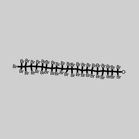 [O]C(Br)(Br)C(Br)(Br)C(Br)(Br)C(Br)(Br)C(Br)(Br)C(Br)(Br)C(Br)(Br)C(Br)(Br)C(Br)(Br)C(Br)(Br)C(Br)(Br)C(Br)(Br)C(Br)(Br)C(Br)(Br)C(Br)(Br)C(Br)(Br)C(Br)(Br)C(Br)(Br)C(Br)(Br)C(Br)(Br)Br